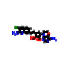 Nc1nc2cc(/C=C/[C@H]3C[C@@H](N4CCOc5c(N)ncnc54)[C@H](O)[C@@H]3O)ccc2cc1Br